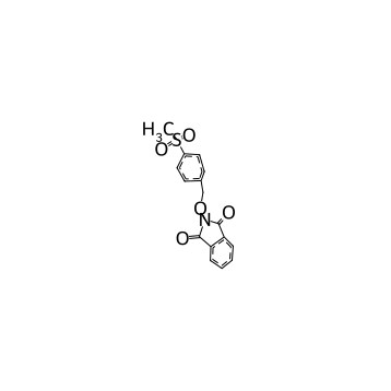 CS(=O)(=O)c1ccc(CON2C(=O)c3ccccc3C2=O)cc1